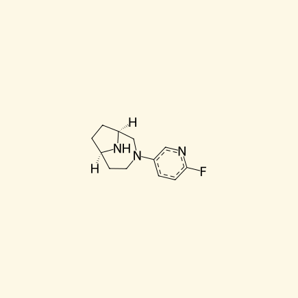 Fc1ccc(N2CC[C@H]3CC[C@@H](C2)N3)cn1